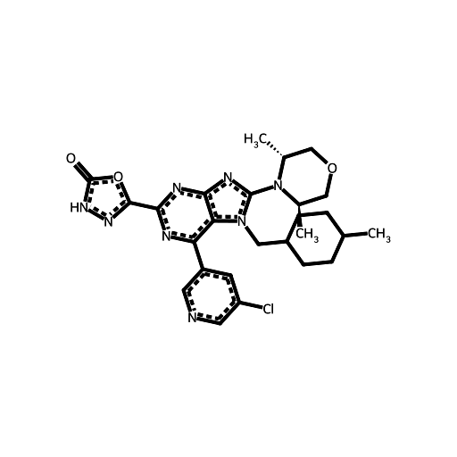 CC1CCC(Cn2c(N3[C@H](C)COC[C@H]3C)nc3nc(-c4n[nH]c(=O)o4)nc(-c4cncc(Cl)c4)c32)CC1